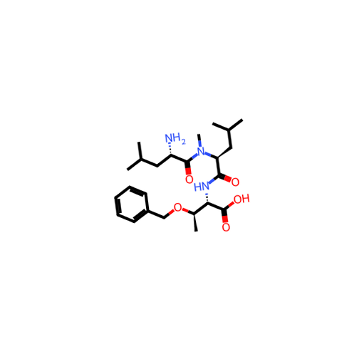 CC(C)C[C@H](N)C(=O)N(C)[C@@H](CC(C)C)C(=O)N[C@H](C(=O)O)[C@@H](C)OCc1ccccc1